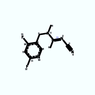 C/C(=N\C#N)N(C)Cc1cnc(F)cc1F